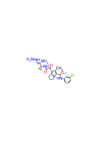 Cc1c(C(=O)C(=O)NC2(/C(N)=C/NN)CC2)c2n(c1C(=O)Nc1cccc(Cl)c1F)CCC2